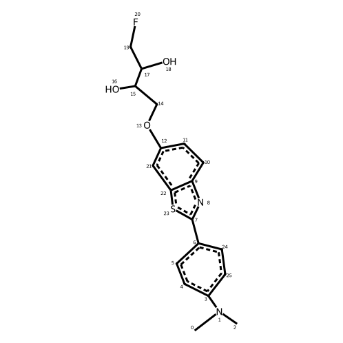 CN(C)c1ccc(-c2nc3ccc(OCC(O)C(O)CF)cc3s2)cc1